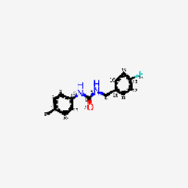 Cc1ccc(NC(=O)NCc2ccc(F)cc2)cc1